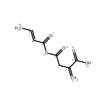 C=C(CC(=O)OC(=O)/C=C/C)C(=O)O